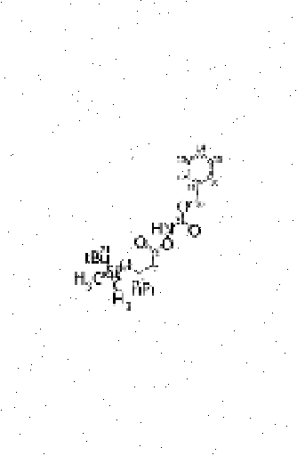 CCCC(CC(=O)ONC(=O)OCc1ccccc1)O[Si](C)(C)C(C)(C)C